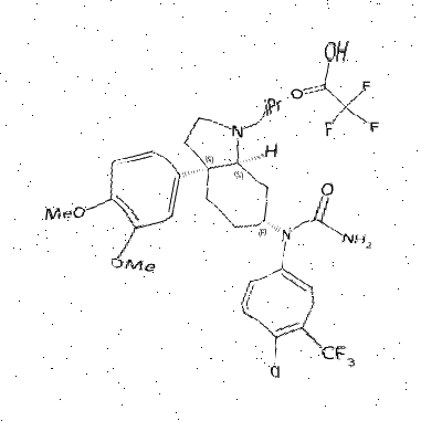 COc1ccc([C@@]23CC[C@@H](N(C(N)=O)c4ccc(Cl)c(C(F)(F)F)c4)C[C@@H]2N(C(C)C)CC3)cc1OC.O=C(O)C(F)(F)F